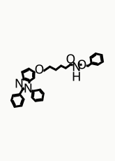 O=C(CCCCCOc1ccc2nc(-c3ccccc3)n(-c3ccccc3)c2c1)NOCc1ccccc1